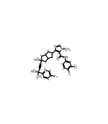 Cn1cnc(C2CC3CC(O)(C#CC(C)(O)c4ccc(F)cn4)CC3C2)c1C(=O)Nc1ccc(F)c(Cl)c1